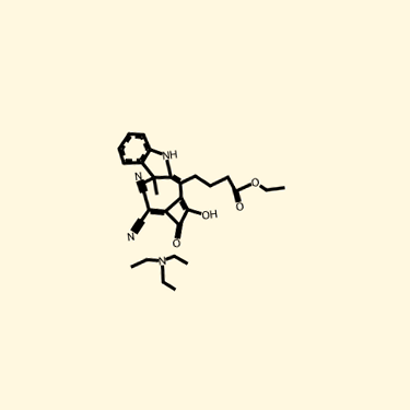 CCN(CC)CC.CCOC(=O)CCCC(C1=C(O)C(=O)C1=C(C#N)C#N)=C1Nc2ccccc2C1(C)C